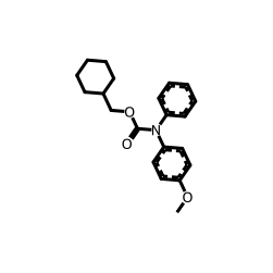 COc1ccc(N(C(=O)OCC2CCCCC2)c2ccccc2)cc1